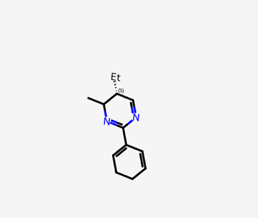 CC[C@@H]1C=NC(C2=CCCC=C2)=NC1C